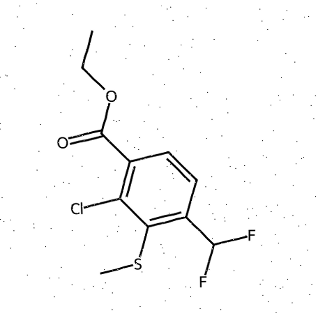 CCOC(=O)c1ccc(C(F)F)c(SC)c1Cl